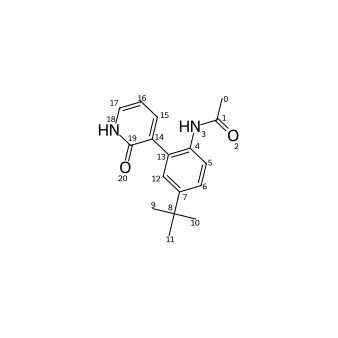 CC(=O)Nc1ccc(C(C)(C)C)cc1-c1ccc[nH]c1=O